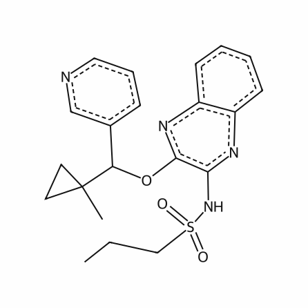 CCCS(=O)(=O)Nc1nc2ccccc2nc1OC(c1cccnc1)C1(C)CC1